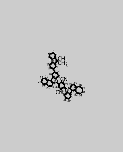 CC1(C)c2ccccc2-c2ccc(-c3ccc4c(c3)c3c5ccccc5ccc3n4-c3cc(C#N)c(-n4c5ccccc5c5c6c(ccc54)C=CCC=C6)cc3C#N)cc21